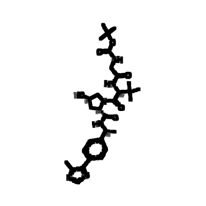 Cc1ncsc1-c1ccc([C@H](C)NC(=O)[C@@H]2C[C@@H](O)CN2C(=O)[C@@H](NC(=O)CNC(=O)OC(C)(C)C)C(C)(C)C)cc1